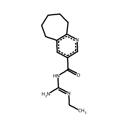 CCN=C(N)NC(=O)c1cnc2c(c1)CCCCC2